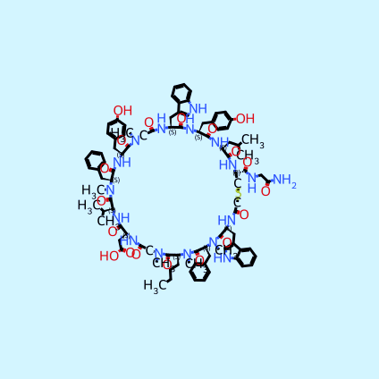 CCCC[C@H]1C(=O)N(C)CC(=O)N[C@@H](CC(=O)O)C(=O)N[C@@H](C(C)C)C(=O)N(C)[C@@H](Cc2ccccc2)C(=O)N[C@@H](Cc2ccc(O)cc2)C(=O)N(C)CC(=O)N[C@@H](Cc2c[nH]c3ccccc23)C(=O)N[C@@H](Cc2ccc(O)cc2)C(=O)N[C@@H](CC(C)C)C(=O)N[C@H](C(=O)NCC(N)=O)CSCC(=O)N[C@@H](Cc2c[nH]c3ccccc23)C(=O)N(C)[C@@H](Cc2ccccc2)C(=O)N1C